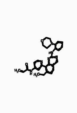 C=CC(=O)Nc1ccnc(-c2c(CC)ccc3cnc(Nc4ccccc4N4CCOCC4)nc23)c1